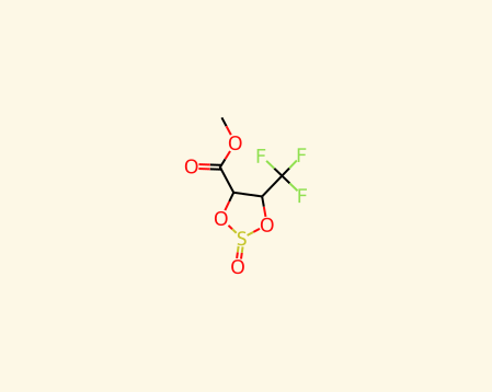 COC(=O)C1OS(=O)OC1C(F)(F)F